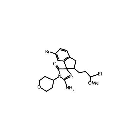 CCC(CCC1Cc2ccc(Br)cc2C12N=C(N)N(C1CCOCC1)C2=O)OC